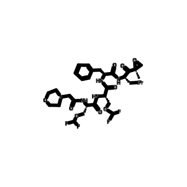 CC(C)C[C@H](NC(=O)[C@H](Cc1ccccc1)NC(=O)[C@H](COC(F)F)NC(=O)[C@H](COC(F)F)NC(=O)CN1CCOCC1)C(=O)[C@]1(C)CO1